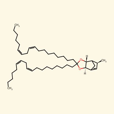 CCCCC/C=C\C/C=C\CCCCCCCCC1(CCCCCCCC/C=C\C/C=C\CCCCC)O[C@@H]2C3=C[C@H](C)C(C3)[C@H]2O1